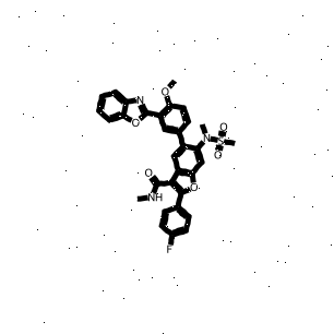 CNC(=O)c1c(-c2ccc(F)cc2)oc2cc(N(C)S(C)(=O)=O)c(-c3ccc(OC)c(-c4nc5ccccc5o4)c3)cc12